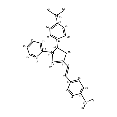 CN(C)c1ccc(C=CC2=NN(c3ccccn3)C(c3ccc(N(C)C)cc3)C2)cc1